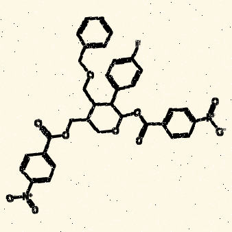 O=C(OCC1COC(OC(=O)c2ccc([N+](=O)[O-])cc2)C(c2ccc(F)cc2)C1COCc1ccccc1)c1ccc([N+](=O)[O-])cc1